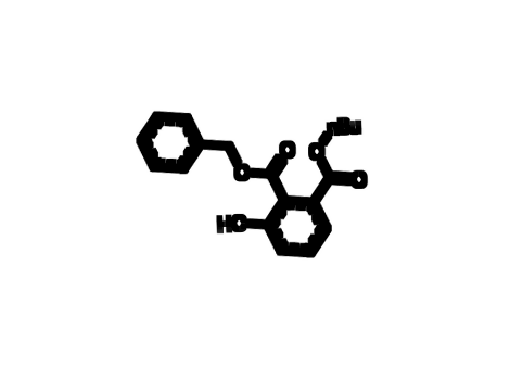 CCCCOC(=O)c1cccc(O)c1C(=O)OCc1ccccc1